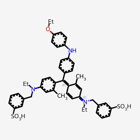 CCOc1ccc(Nc2ccc(/C(=C3C=C/C(=[N+](\CC)Cc4cccc(S(=O)(=O)O)c4)C=C/3C)c3ccc(N(CC)Cc4cccc(S(=O)(=O)O)c4)cc3C)cc2)cc1